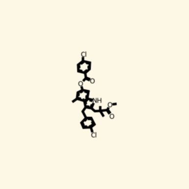 COC(=O)C(C)(C)Cc1[nH]c2cc(OC(=O)c3ccc(Cl)cc3)cc(C)c2c1Cc1ccc(Cl)cc1